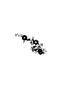 COc1ccc(CCn2cnc3cc(N/C(=N/C4C[C@@H]5C[C@H]([C@@H]4C)C5(C)C)N4CCS(=O)(=O)CC4)ccc3c2=O)c(F)c1